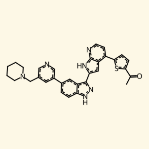 CC(=O)c1ccc(-c2ccnc3[nH]c(-c4n[nH]c5ccc(-c6cncc(CN7CCCCC7)c6)cc45)cc23)s1